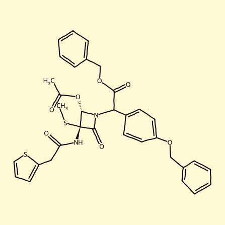 CS[C@@]1(NC(=O)Cc2cccs2)C(=O)N(C(C(=O)OCc2ccccc2)c2ccc(OCc3ccccc3)cc2)[C@H]1OC(C)=O